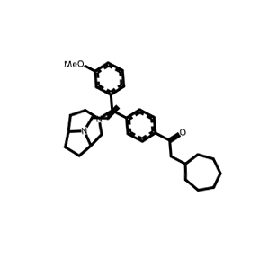 C=CCN1C2CCC1CN(C(c1ccc(C(=O)CC3CCCCCC3)cc1)c1cccc(OC)c1)CC2